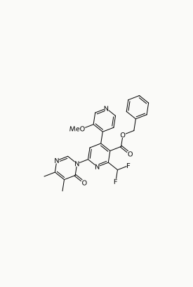 COc1cnccc1-c1cc(-n2cnc(C)c(C)c2=O)nc(C(F)F)c1C(=O)OCc1ccccc1